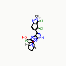 Cn1nc2ccc(-c3n[nH]c4nc(N5[C@@H]6CC[C@H]5[C@@H](F)[C@@H](N)C6)c(CO)nc34)c(Cl)c2c1Cl